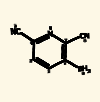 Bc1ccc(C#N)nc1C#N